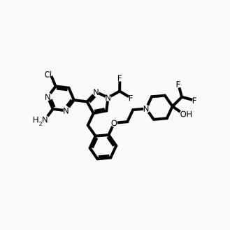 Nc1nc(Cl)cc(-c2nn(C(F)F)cc2Cc2ccccc2OCCN2CCC(O)(C(F)F)CC2)n1